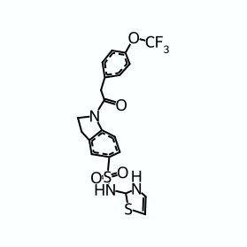 O=C(Cc1ccc(OC(F)(F)F)cc1)N1CCc2cc(S(=O)(=O)NC3NC=CS3)ccc21